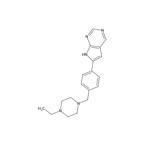 CCN1CCN(Cc2ccc(-c3cc4[c]ncnc4[nH]3)cc2)CC1